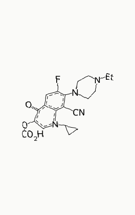 CCN1CCN(c2c(F)cc3c(=O)c(OC(=O)O)cn(C4CC4)c3c2C#N)CC1